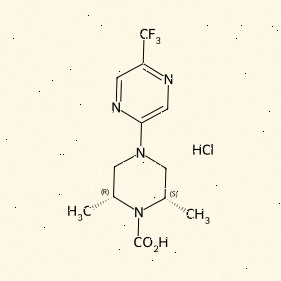 C[C@@H]1CN(c2cnc(C(F)(F)F)cn2)C[C@H](C)N1C(=O)O.Cl